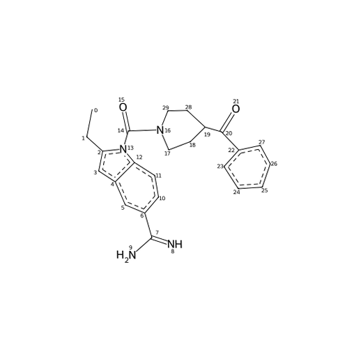 CCc1cc2cc(C(=N)N)ccc2n1C(=O)N1CCC(C(=O)c2ccccc2)CC1